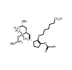 CCCC[C@@H](C)C[C@@H](/C=C/[C@H]1CCC(OC(=O)CCC)=C1SCCCCCC(=O)O)[Si](C)(C)O[SiH2]C(C)(C)C